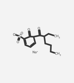 CCCCC(CC)C(=O)C1C=CC=C(S(=O)(=O)[O-])C1=O.[Na+]